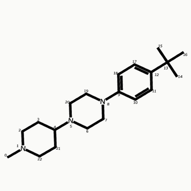 CN1CCC(N2CCN(c3ccc(C(C)(C)C)cc3)CC2)CC1